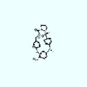 Cc1ccc(C)c(Oc2ccc(CNC(=O)C3CCCN3S(=O)(=O)c3ccc(F)cc3)cn2)c1